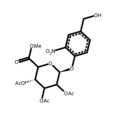 COC(=O)C1O[C@@H](Oc2ccc(CO)cc2[N+](=O)[O-])C(OC(C)=O)C(OC(C)=O)[C@@H]1OC(C)=O